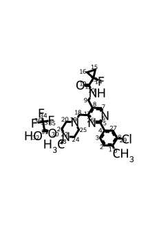 Cc1ccc(-c2ncc(CNC(=O)C3(F)CC3)c(CN3CCN(C)CC3)n2)cc1Cl.O=C(O)C(F)(F)F